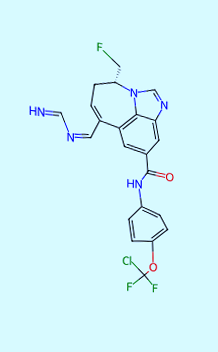 N=C/N=C\C1=CC[C@H](CF)n2cnc3cc(C(=O)Nc4ccc(OC(F)(F)Cl)cc4)cc1c32